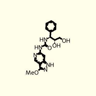 COc1n[nH]c2cc(NC(=O)N[C@@H](c3ccccc3)[C@@H](O)CO)ncc12